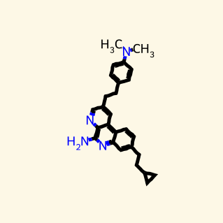 CN(C)c1ccc(CCc2cnc3c(N)nc4cc(CCC5CC5)ccc4c3c2)cc1